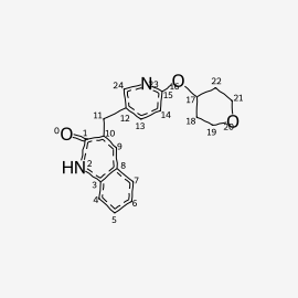 O=c1[nH]c2ccccc2cc1Cc1ccc(OC2CCOCC2)nc1